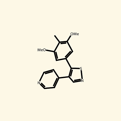 COc1cc(-c2sncc2-c2ccncc2)cc(OC)c1C